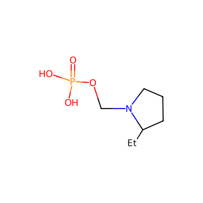 CCC1CCCN1COP(=O)(O)O